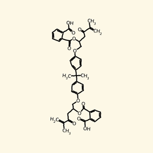 C=C(C)C(=O)CC(COc1ccc(C(C)(C)c2ccc(OCC(CC(=O)C(=C)C)OC(=O)c3ccccc3C(=O)O)cc2)cc1)OC(=O)c1ccccc1C(=O)O